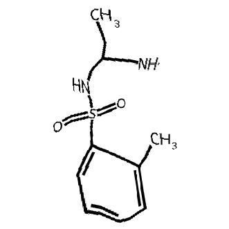 Cc1ccccc1S(=O)(=O)NC(C)[NH]